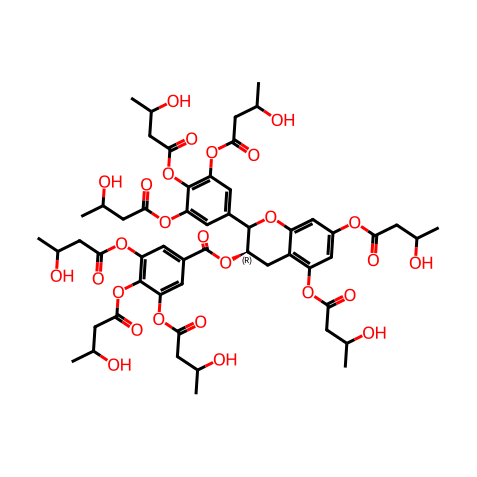 CC(O)CC(=O)Oc1cc(OC(=O)CC(C)O)c2c(c1)OC(c1cc(OC(=O)CC(C)O)c(OC(=O)CC(C)O)c(OC(=O)CC(C)O)c1)[C@H](OC(=O)c1cc(OC(=O)CC(C)O)c(OC(=O)CC(C)O)c(OC(=O)CC(C)O)c1)C2